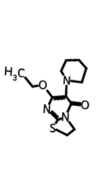 CCOc1nc2n(c(=O)c1N1CCCCC1)CCS2